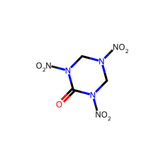 O=C1N([N+](=O)[O-])CN([N+](=O)[O-])CN1[N+](=O)[O-]